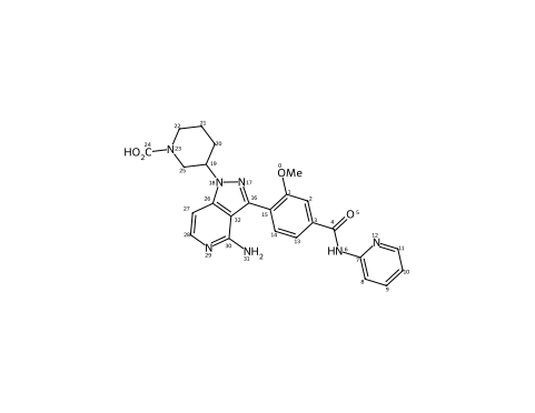 COc1cc(C(=O)Nc2ccccn2)ccc1-c1nn(C2CCCN(C(=O)O)C2)c2ccnc(N)c12